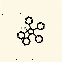 BC1(c2ccccc2)C(c2ccccc2)=C(c2ccccc2)C(c2ccccc2)=C1c1ccccc1